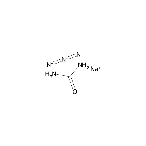 NC(N)=O.[N-]=[N+]=[N-].[Na+]